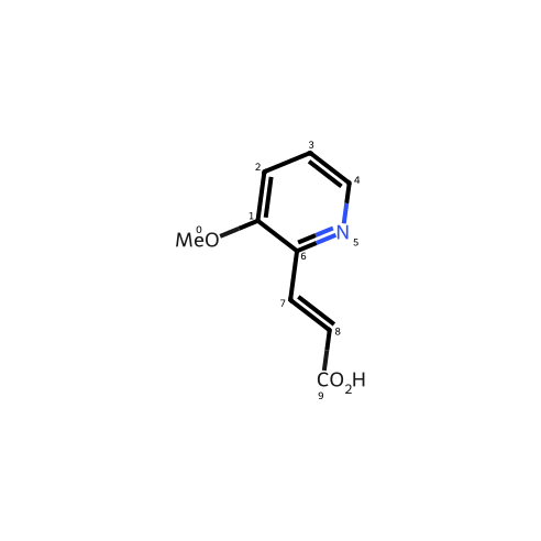 COc1cccnc1C=CC(=O)O